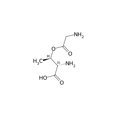 C[C@@H](OC(=O)CN)[C@H](N)C(=O)O